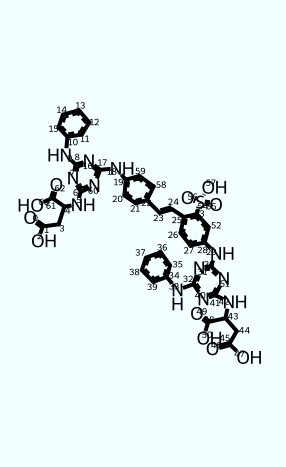 O=C(O)CC(Nc1nc(Nc2ccccc2)nc(Nc2ccc(/C=C/c3ccc(Nc4nc(Nc5ccccc5)nc(NC(CC(=O)O)C(=O)O)n4)cc3S(=O)(=O)O)cc2)n1)C(=O)O